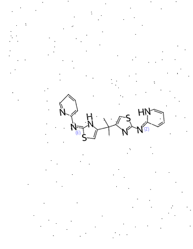 CC(C)(c1csc(/N=c2/cccc[nH]2)n1)c1cs/c(=N/c2ccccn2)[nH]1